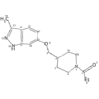 CCC(=O)N1CCC(COc2ccc3c(C)n[nH]c3c2)CC1